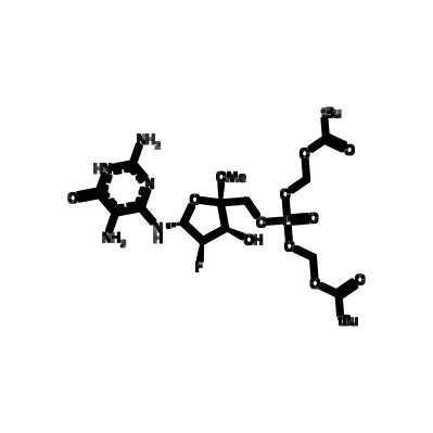 CO[C@]1(COP(=O)(OCOC(=O)C(C)(C)C)OCOC(=O)C(C)(C)C)O[C@@H](Nc2nc(N)[nH]c(=O)c2N)[C@H](F)[C@@H]1O